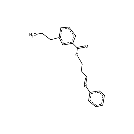 CCCc1cccc(C(=O)OCCC=Nc2ccccc2)c1